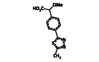 COC(C(=O)O)c1ccc(-c2nnc(C)s2)cc1